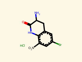 Cl.NC1Cc2cc(Br)cc([N+](=O)[O-])c2NC1=O